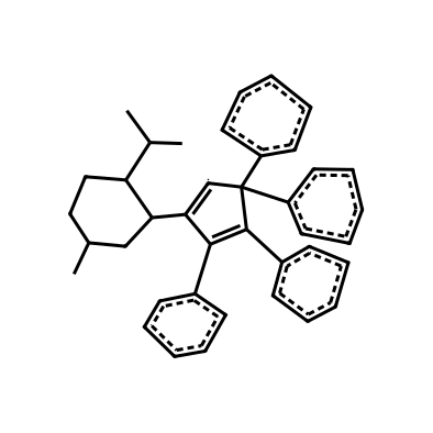 CC1CCC(C(C)C)C(C2=[C]C(c3ccccc3)(c3ccccc3)C(c3ccccc3)=C2c2ccccc2)C1